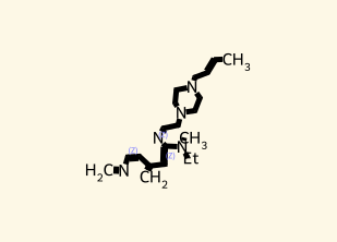 C=N/C=C\C(=C)/C=C(\N=C/CN1CCN(CC=CC)CC1)N(C)CC